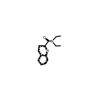 CCN(CC)C(=O)c1ccc2ccccc2n1